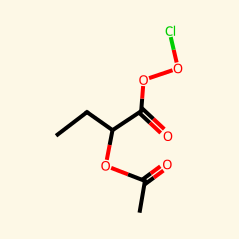 CCC(OC(C)=O)C(=O)OOCl